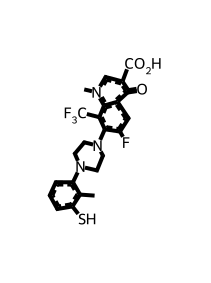 Cc1c(S)cccc1N1CCN(c2c(F)cc3c(=O)c(C(=O)O)cn(C)c3c2C(F)(F)F)CC1